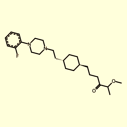 COC(C)C(=O)CCC[C@H]1CC[C@H](CCN2CCN(c3ccccc3F)CC2)CC1